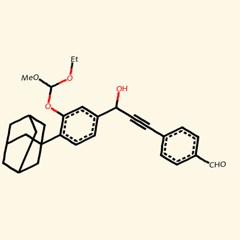 CCOC(OC)Oc1cc(C(O)C#Cc2ccc(C=O)cc2)ccc1C12CC3CC(CC(C3)C1)C2